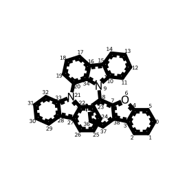 c1ccc2c(c1)oc1c(-n3c4ccccc4c4cccc(-n5c6ccccc6c6ccccc65)c43)nccc12